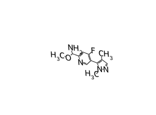 COC(N)c1cc(F)c(-c2c(C)cnn2C)cn1